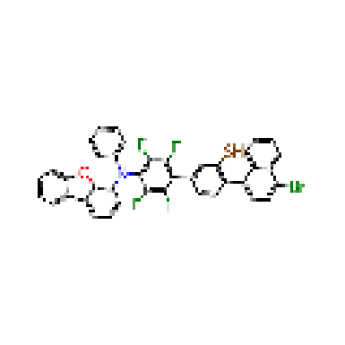 Fc1c(F)c(N(c2ccccc2)c2cccc3c2oc2ccccc23)c(F)c(F)c1-c1ccc(-c2ccc(Br)c3ccccc23)c(S)c1